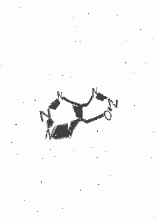 c1nnnc2nnoc12